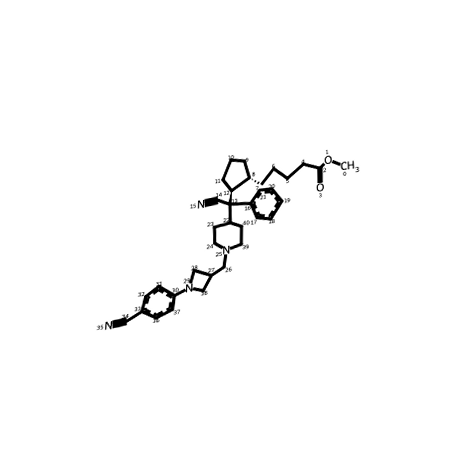 COC(=O)CCCC[C@H]1CCC[C@@H]1C(C#N)(c1ccccc1)C1CCN(CC2CN(c3ccc(C#N)cc3)C2)CC1